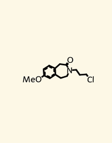 COc1ccc2c(c1)CCN(CCCCl)C(=O)C2